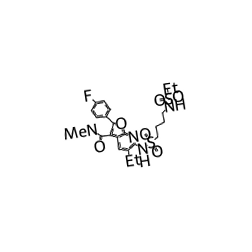 CCc1cc2c(C(=O)NC)c(-c3ccc(F)cc3)oc2nc1NS(=O)(=O)CCCCNS(=O)(=O)CC